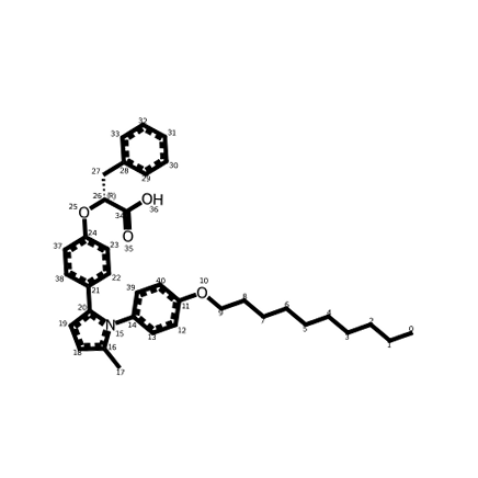 CCCCCCCCCCOc1ccc(-n2c(C)ccc2-c2ccc(O[C@H](Cc3ccccc3)C(=O)O)cc2)cc1